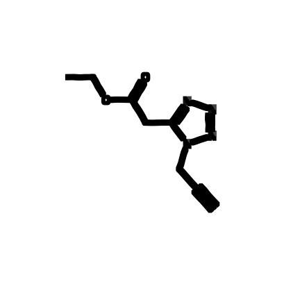 C#CCn1nnnc1CC(=O)OCC